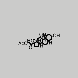 CC(=O)OCC(=O)[C@@]1(O)CC[C@H]2[C@@H]3CC[C@H]4C[C@H](O)CC[C@]4(C)[C@H]3[C@@H](O)C[C@@]21C